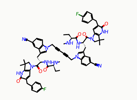 CC[C@H](NC)C(=O)N[C@@H](Cc1cn(CC#CC#CCn2cc(C[C@H](NC(=O)[C@H](CC)NC)C(=O)N3CC(C)(C)c4[nH]c(=O)c(Cc5ccc(F)cc5)cc43)c3cc(C#N)ccc32)c2ccc(C#N)cc12)C(=O)N1CC(C)(C)c2[nH]c(=O)c(Cc3ccc(F)cc3)cc21